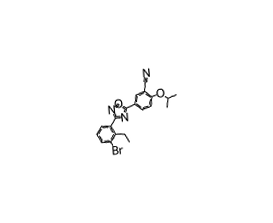 CCc1c(Br)cccc1-c1noc(-c2ccc(OC(C)C)c(C#N)c2)n1